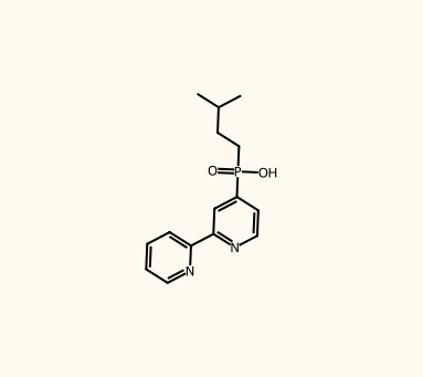 CC(C)CCP(=O)(O)c1ccnc(-c2ccccn2)c1